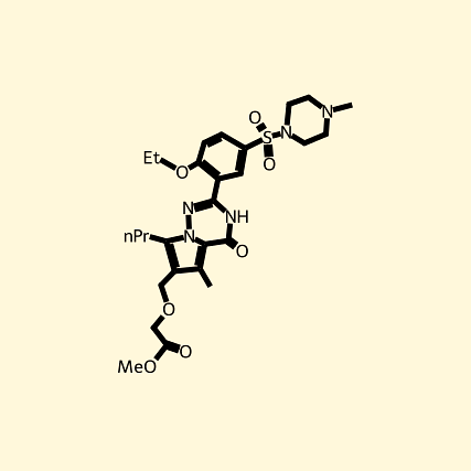 CCCc1c(COCC(=O)OC)c(C)c2c(=O)[nH]c(-c3cc(S(=O)(=O)N4CCN(C)CC4)ccc3OCC)nn12